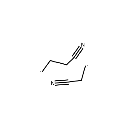 [CH2]CC#N.[CH2]CCC#N